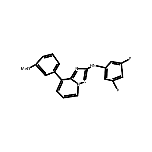 COc1cccc(-c2cccn3nc(Nc4cc(F)cc(F)c4)nc23)c1